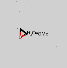 C1CO1.COC